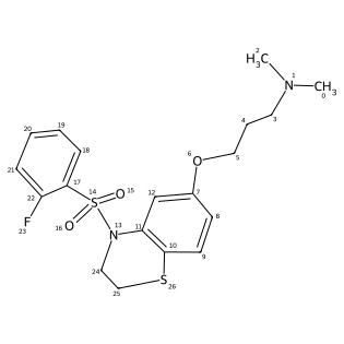 CN(C)CCCOc1ccc2c(c1)N(S(=O)(=O)c1ccccc1F)CCS2